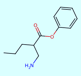 CCCC(CN)C(=O)Oc1ccccc1